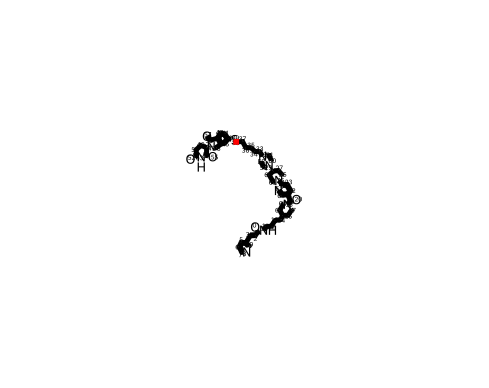 O=C(/C=C/c1cccnc1)NCCCCC1CCN(C(=O)c2ccc(N3CCC(N4CCN(CCCCCCSc5ccc6c(c5)CN(C5CCC(=O)NC5=O)C6=O)CC4)CC3)nc2)CC1